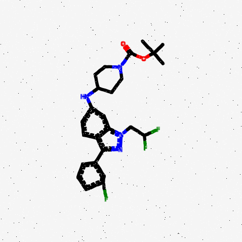 CC(C)(C)OC(=O)N1CCC(Nc2ccc3c(-c4cccc(F)c4)nn(CC(F)F)c3c2)CC1